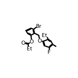 CCC(=O)Oc1cccc(Br)c1COc1cc(F)c(C)cc1CC